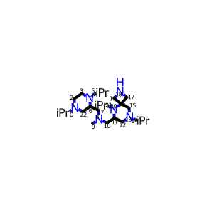 CC(C)N1CCN(C(C)C)C(CN(C)CC2CN(C(C)C)CC3(CNC3)N2C(C)C)C1